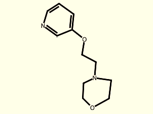 [c]1ncccc1OCCN1CCOCC1